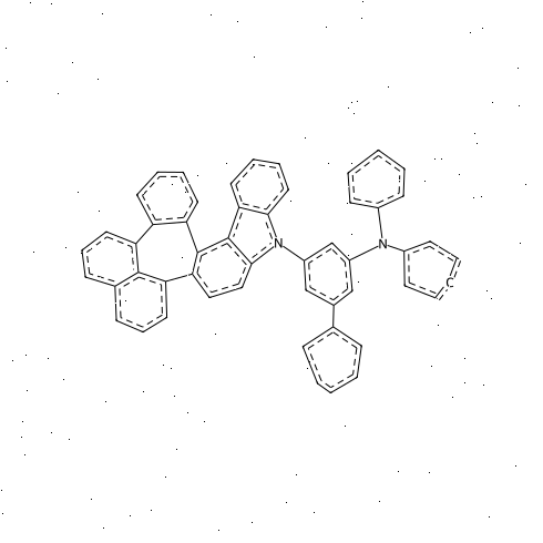 c1ccc(-c2cc(N(c3ccccc3)c3ccccc3)cc(-n3c4ccccc4c4c5c(ccc43)-c3cccc4cccc(c34)-c3ccccc3-5)c2)cc1